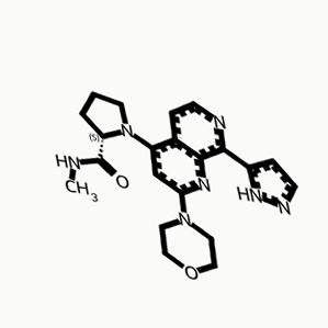 CNC(=O)[C@@H]1CCCN1c1cc(N2CCOCC2)nc2c(-c3ccn[nH]3)nccc12